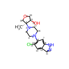 C[C@]1(N2CCN(c3cc4[nH]ncc4cc3Cl)CC2)COC[C@H]1O